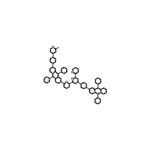 Cc1cc(-c2ccc(-c3ccc4c(-c5ccccc5)c5ccc(-c6cccc(-c7cc(-c8ccc(-c9ccc%10c(-c%11ccccc%11)c%11ccccc%11c(-c%11ccccc%11)c%10c9)cc8)cc(-c8ccccn8)n7)n6)cc5c(-c5ccccc5)c4c3)cc2)ccn1